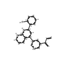 C=CC(=C)c1cncc(-c2cc(-c3ccccc3F)nc3ncccc23)c1